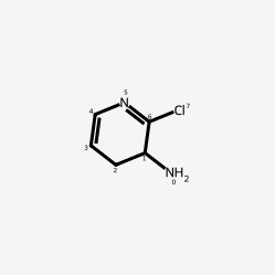 NC1CC=CN=C1Cl